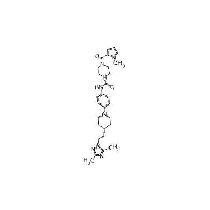 Cc1nc(C)n(CCC2CCN(c3ccc(NC(=O)N4CCN(C(=O)c5cccn5C)CC4)cc3)CC2)n1